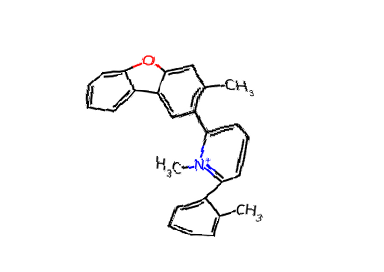 Cc1ccccc1-c1cccc(-c2cc3c(cc2C)oc2ccccc23)[n+]1C